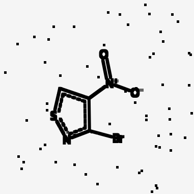 O=[N+]([O-])c1csnc1Br